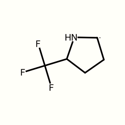 FC(F)(F)C1CC[CH]N1